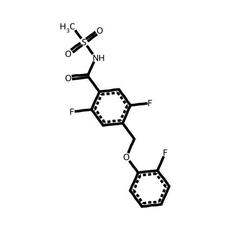 CS(=O)(=O)NC(=O)c1cc(F)c(COc2ccccc2F)cc1F